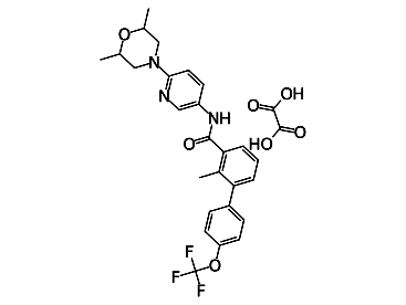 Cc1c(C(=O)Nc2ccc(N3CC(C)OC(C)C3)nc2)cccc1-c1ccc(OC(F)(F)F)cc1.O=C(O)C(=O)O